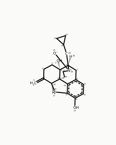 C=C1CC[C@@]2(O)[C@H]3Cc4ccc(O)c5c4[C@@]2(CC[N+]3([O-])CC2CC2)[C@H]1O5